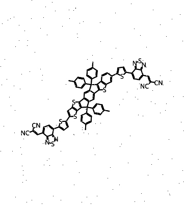 Cc1ccc(C2(c3ccc(C)cc3)c3cc4c(cc3-c3sc5cc(-c6ccc(-c7ccc(C=C(C#N)C#N)c8nsnc78)s6)ccc5c32)C(c2ccc(C)cc2)(c2ccc(C)cc2)c2c-4sc3cc(-c4ccc(-c5ccc(C=C(C#N)C#N)c6nsnc56)s4)sc23)cc1